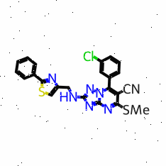 CSc1nc2nc(NCc3csc(-c4ccccc4)n3)nn2c(-c2cccc(Cl)c2)c1C#N